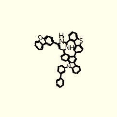 C1=C(c2ccc3oc4ccccc4c3c2)NC(c2cccc3sc4ccc(-c5ccc6c(c5)c5ccccc5n6-c5cccc(-c6ccccc6)c5)cc4c23)NC1c1ccccc1